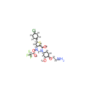 COc1cc(N2CN(OC(=O)C(F)(F)F)c3cc(-c4ccc(Cl)cc4)sc3C2=O)ccc1OCCN